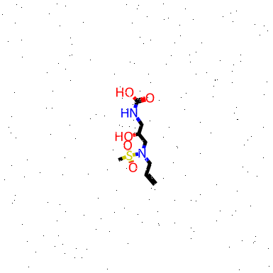 C=CCN(CC(O)CNC(=O)O)S(C)(=O)=O